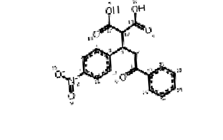 O=C(CC(c1ccc([N+](=O)[O-])cc1)C(C(=O)O)C(=O)O)c1ccccc1